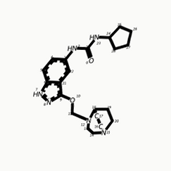 O=C(Nc1ccc2[nH]nc(OCN3CCN4CCC3CC4)c2c1)NC1CCCC1